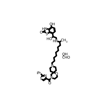 CC(CCCCCCCCN1CCC2(CC1)CN(C(=O)c1csc(C(C)C)n1)CCO2)NCC(O)c1ccc(O)c2[nH]c(=O)sc12.O=CO